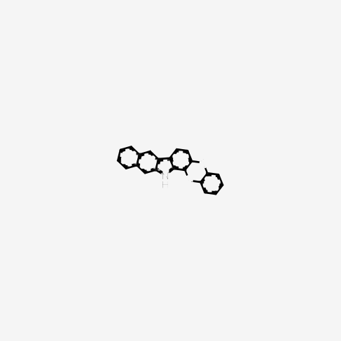 c1ccc2c(c1)Sc1ccc3c([nH]c4cc5ccccc5cc43)c1S2